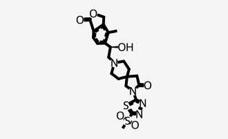 Cc1c([C@@H](O)CN2CCC3(CC2)CC(=O)N(c2nnc(S(C)(=O)=O)s2)C3)ccc2c1COC2=O